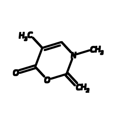 C=C1OC(=O)C(C)=CN1C